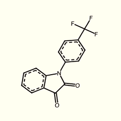 O=C1C(=O)N(c2ccc(C(F)(F)F)cc2)c2ccccc21